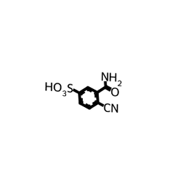 N#Cc1ccc(S(=O)(=O)O)cc1C(N)=O